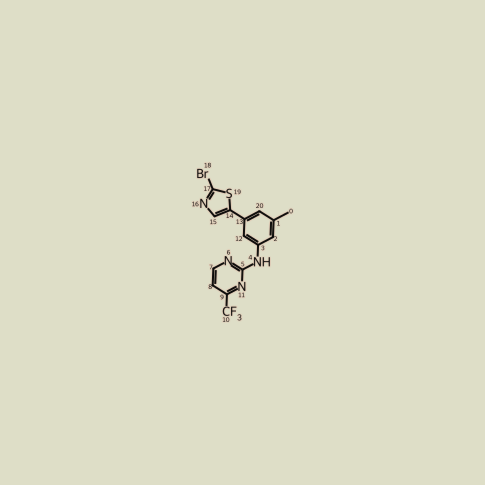 Cc1cc(Nc2nccc(C(F)(F)F)n2)cc(-c2cnc(Br)s2)c1